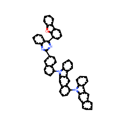 c1ccc2cc3c(cc2c1)c1ccccc1n3-c1cccc2cc3c(cc12)c1ccccc1n3-c1cccc2cc(-c3nc(-c4cccc5c4oc4ccccc45)c4ccccc4n3)ccc12